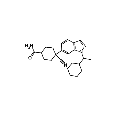 CC(C1CCCCC1)n1ncc2ccc(C3(C#N)CCC(C(N)=O)CC3)cc21